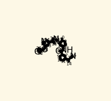 Cc1ccc(NC(=O)c2cccc(C(C)C#N)c2)cc1-n1cc(-c2cncc(OC3COC3)c2)cn1